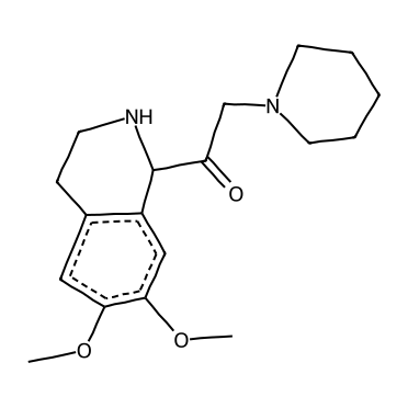 COc1cc2c(cc1OC)C(C(=O)CN1CCCCC1)NCC2